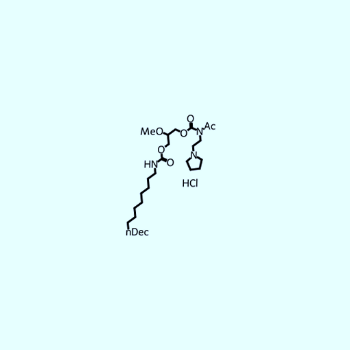 CCCCCCCCCCCCCCCCCCNC(=O)OCC(COC(=O)N(CCN1CCCC1)C(C)=O)OC.Cl